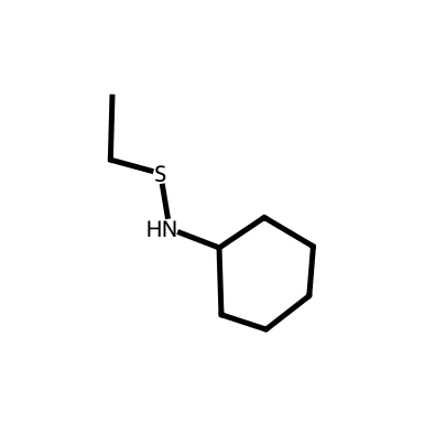 CCSNC1CCCCC1